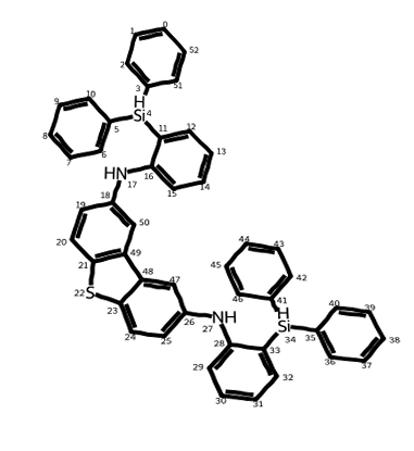 c1ccc([SiH](c2ccccc2)c2ccccc2Nc2ccc3sc4ccc(Nc5ccccc5[SiH](c5ccccc5)c5ccccc5)cc4c3c2)cc1